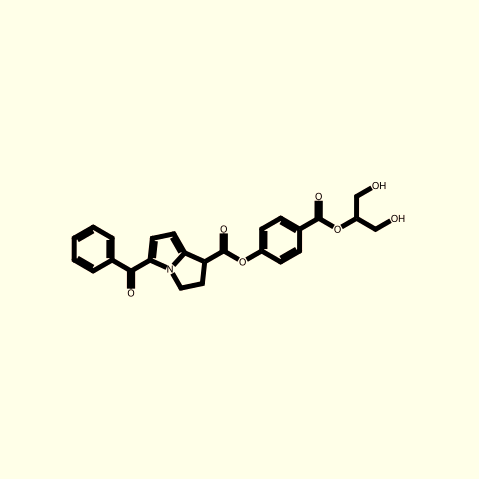 O=C(OC(CO)CO)c1ccc(OC(=O)C2CCn3c(C(=O)c4ccccc4)ccc32)cc1